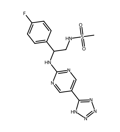 CS(=O)(=O)NCC(Nc1ncc(-c2nnn[nH]2)cn1)c1ccc(F)cc1